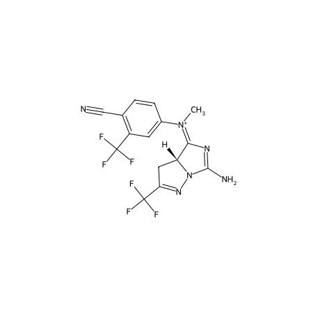 C[N+](=C1N=C(N)N2N=C(C(F)(F)F)C[C@H]12)c1ccc(C#N)c(C(F)(F)F)c1